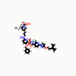 CC1(C)C[C@H](CCCNc2ccc(OCc3ccccc3)c(S(=O)(=O)NC(=O)c3ccc(-n4ccc(OCCC5C6(CC6)C56CC6)n4)nc3Cl)n2)CN1C(=O)O